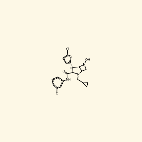 O=C(Nc1cccc(Cl)c1)C1[C@H](c2ccc(Cl)s2)C2C(CN2O)N1CC1CC1